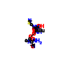 Cc1ncsc1-c1ccc(CNC(=O)[C@@H]2C[C@@H](O)CN2C(=O)[C@@H](NC(=O)COCCCOc2ccc3c(c2)c2c(C(N)=O)cc(-c4c(C)noc4C)cc2n3Cc2ccccc2)C(C)(C)C)cc1